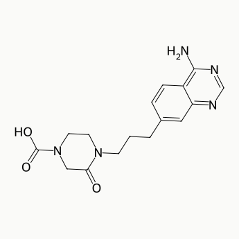 Nc1ncnc2cc(CCCN3CCN(C(=O)O)CC3=O)ccc12